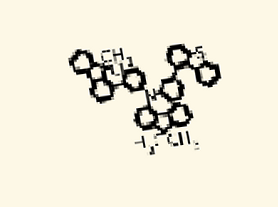 CC1(C)c2ccccc2-c2c(N(c3cccc(-c4cccc5c4C(C)(C)c4ccccc4-5)c3)c3cccc(-c4cccc5sc6ccccc6c45)c3)cccc21